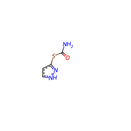 NC(=O)Sc1cc[nH]n1